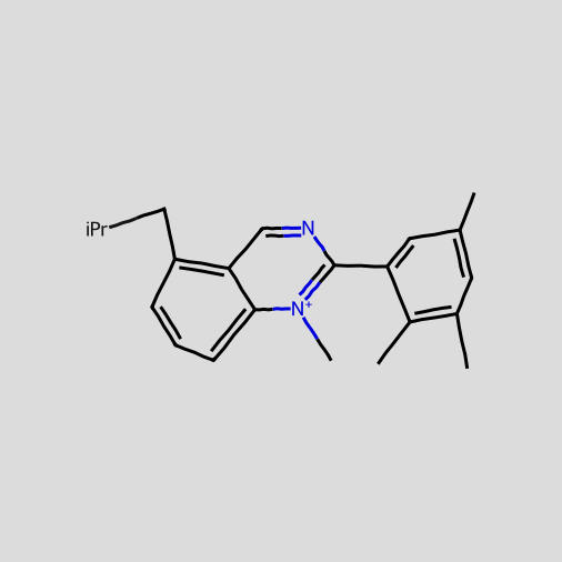 Cc1cc(C)c(C)c(-c2ncc3c(CC(C)C)cccc3[n+]2C)c1